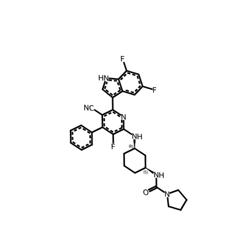 N#Cc1c(-c2c[nH]c3c(F)cc(F)cc23)nc(N[C@@H]2CCC[C@H](NC(=O)N3CCCC3)C2)c(F)c1-c1ccccc1